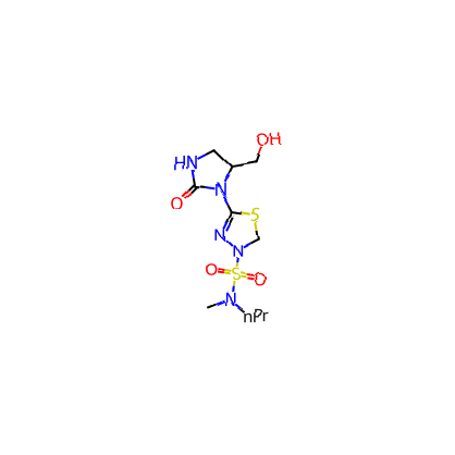 CCCN(C)S(=O)(=O)N1CSC(N2C(=O)NCC2CO)=N1